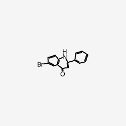 O=c1cc(-c2ccccc2)[nH]c2ccc(Br)cc12